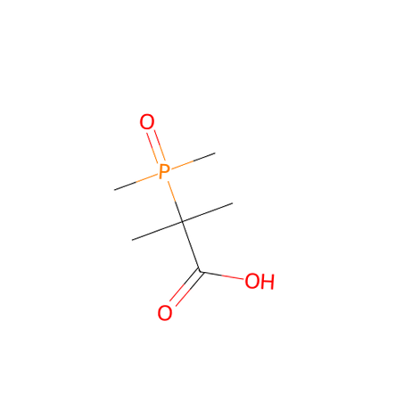 CC(C)(C(=O)O)P(C)(C)=O